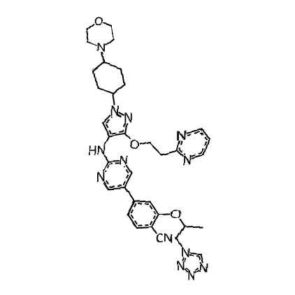 CC(Cn1cnnn1)Oc1cc(-c2cnc(Nc3cn(C4CCC(N5CCOCC5)CC4)nc3OCCc3ncccn3)nc2)ccc1C#N